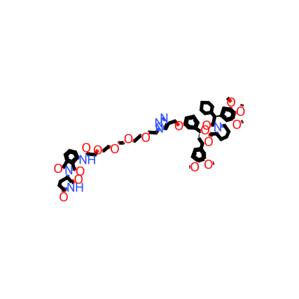 COc1ccc(CC[C@@H](OC(=O)C2CCCCN2C(=O)[C@H](c2cc(OC)c(OC)c(OC)c2)C2CCCCC2)c2cccc(OCc3cn(CCOCCOCCOCCOCC(=O)Nc4cccc5c4C(=O)N(C4CCC(=O)NC4=O)C5=O)nn3)c2)cc1OC